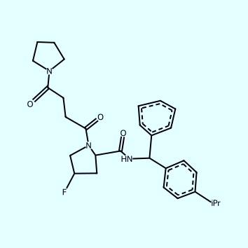 CC(C)c1ccc(C(NC(=O)C2CC(F)CN2C(=O)CCC(=O)N2CCCC2)c2ccccc2)cc1